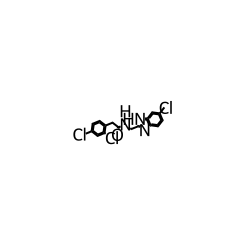 O=C(Cc1ccc(Cl)cc1Cl)NCc1nc2ccc(Cl)cc2[nH]1